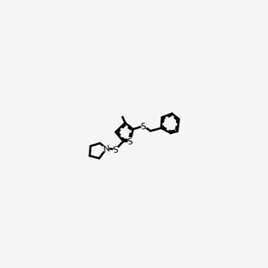 Cc1cc(SN2CCCC2)sc1SCc1ccccc1